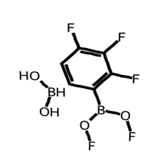 FOB(OF)c1ccc(F)c(F)c1F.OBO